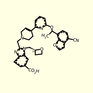 CC(Oc1cccc(C2=CCN(Cc3nc4ccc(C(=O)O)cc4n3C[C@@H]3CCO3)CC2)n1)c1ccc(C#N)c2ccoc12